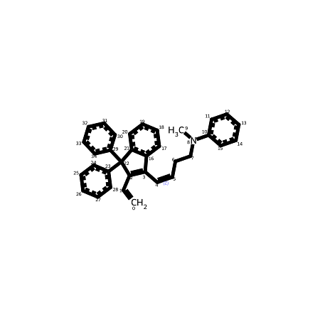 C=CC1=C(/C=C\CCN(C)c2ccccc2)c2ccccc2C1(c1ccccc1)c1ccccc1